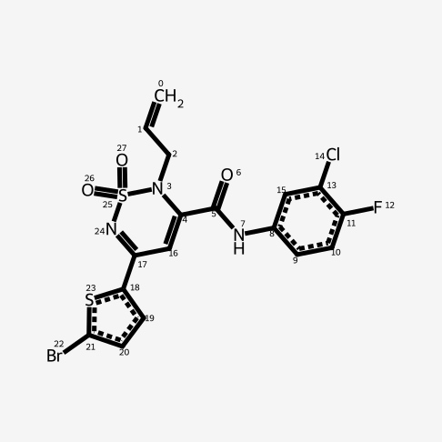 C=CCN1C(C(=O)Nc2ccc(F)c(Cl)c2)=CC(c2ccc(Br)s2)=NS1(=O)=O